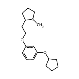 CN1CCCC1CCOc1cccc(OC2CCCC2)c1